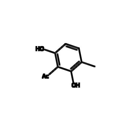 CC(=O)c1c(O)ccc(C)c1O